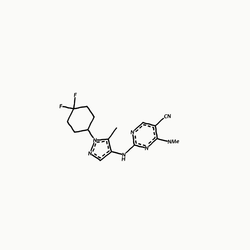 CNc1nc(Nc2cnn(C3CCC(F)(F)CC3)c2C)ncc1C#N